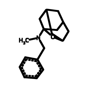 CN(Cc1ccccc1)C12CC3CC(CC(C3)O1)C2